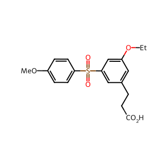 CCOc1cc(CCC(=O)O)cc(S(=O)(=O)c2ccc(OC)cc2)c1